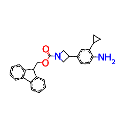 Nc1ccc(C2CN(C(=O)OCC3c4ccccc4-c4ccccc43)C2)cc1C1CC1